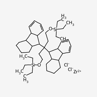 CC[Si](CC)(CC)OCCC(CCO[Si](CC)(CC)CC)(C1C2C=CC=CC2C2CCCCC21)C1C2C=CC=CC2C2CCCCC21.[Cl-].[Cl-].[Zr+2]